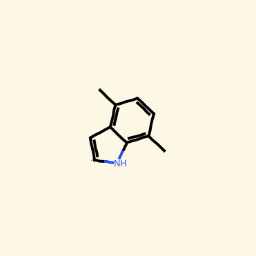 Cc1ccc(C)c2[nH][c]cc12